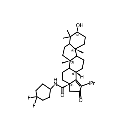 CC(C)C1=C2[C@H]3CCC4[C@@](C)(CCC5C(C)(C)[C@@H](O)CC[C@@]54C)C3CC[C@@]2(C(=O)NC2CCC(F)(F)CC2)CC1=O